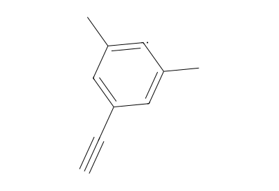 C#Cc1cc(C)[c]c(C)c1